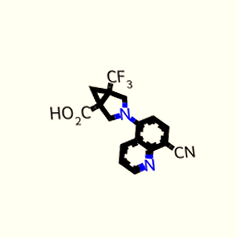 N#Cc1ccc(N2CC3(C(=O)O)CC3(C(F)(F)F)C2)c2cccnc12